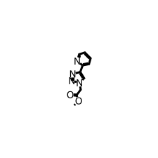 COC(=O)Cn1cc(-c2ccccn2)nn1